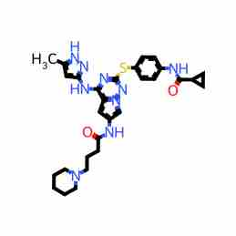 Cc1cc(Nc2nc(Sc3ccc(NC(=O)C4CC4)cc3)nn3cc(NC(=O)CCCN4CCCCC4)cc23)n[nH]1